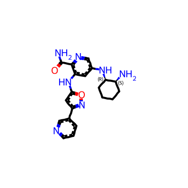 NC(=O)c1ncc(N[C@@H]2CCCC[C@@H]2N)cc1Nc1cc(-c2cccnc2)no1